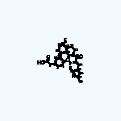 COc1ccc(CC(=O)O)cc1-c1ccc(F)c2c1CN(C(=O)/C=C/c1cc(C)nn1C)CC2